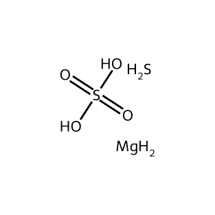 O=S(=O)(O)O.S.[MgH2]